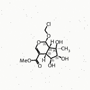 COC(=O)C1=CO[C@@H](OCCl)[C@H]2[C@@H]1[C@H](O)[C@H](O)[C@]2(C)O